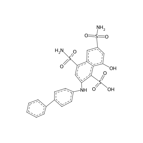 NS(=O)(=O)c1cc(O)c2c(S(=O)(=O)O)c(Nc3ccc(-c4ccccc4)cc3)cc(S(N)(=O)=O)c2c1